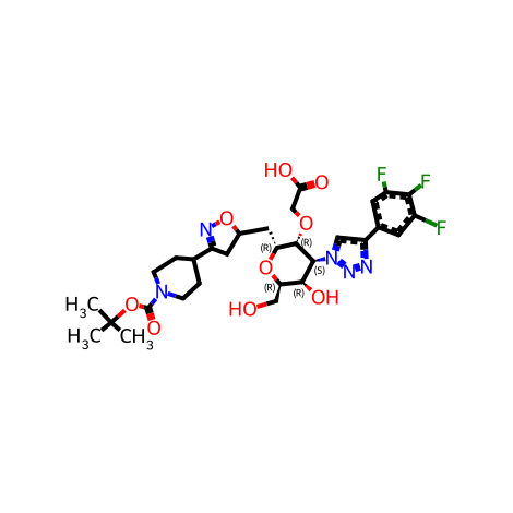 CC(C)(C)OC(=O)N1CCC(C2=NOC(C[C@H]3O[C@H](CO)[C@H](O)[C@H](n4cc(-c5cc(F)c(F)c(F)c5)nn4)[C@H]3OCC(=O)O)C2)CC1